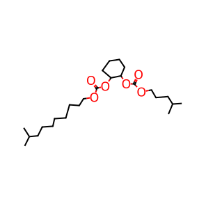 CC(C)CCCCCCCCOC(=O)OC1CCCCC1OC(=O)OCCCC(C)C